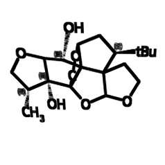 C[C@@H]1COC2[C@H](O)C34C5C[C@@H](C(C)(C)C)C36CCOC6OC4(CO5)[C@]21O